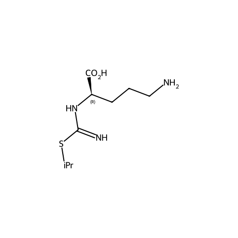 CC(C)SC(=N)N[C@H](CCCN)C(=O)O